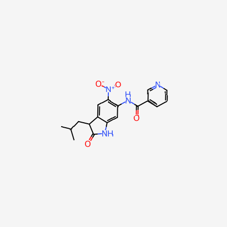 CC(C)CC1C(=O)Nc2cc(NC(=O)c3cccnc3)c([N+](=O)[O-])cc21